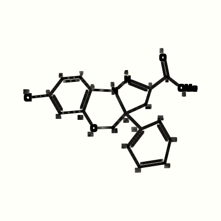 COC(=O)C1=NN2c3ccc(Cl)cc3OCC2(c2ccccc2)C1